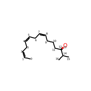 C/C=C\C/C=C\C/C=C\CCCC(=O)C(C)C